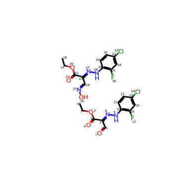 CCOC(=O)/C(C=O)=N/Nc1ccc(Cl)cc1F.CCOC(=O)C(/C=N/O)=N/Nc1ccc(Cl)cc1F